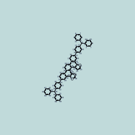 c1ccc(C(c2ccccc2)c2ccc(-c3ccc4c(c3)c3occc3c3c4ccc4c5ccc(-c6ccc(C(c7ccccc7)c7ccccc7)cc6)cc5c5ocnc5c43)cc2)cc1